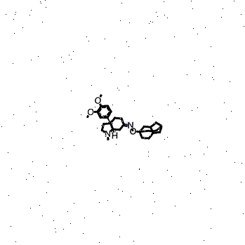 COc1ccc([C@@]23CC/C(=N/OC45CCC6CC(CC6C4)C5)C[C@@H]2N(C)CC3)cc1OC